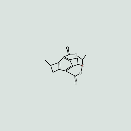 CC1COC(=O)c2c3c(c(c4c2C(C)C4)C(=O)O1)C(C)C3